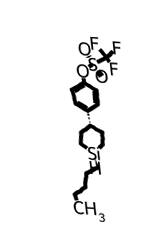 CCCCC[Si@H]1CC[C@H](c2ccc(OS(=O)(=O)C(F)(F)F)cc2)CC1